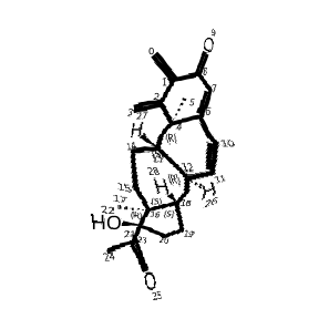 C=C1C(=C)[C@@]2(C)C(=CC1=O)C=C[C@@H]1[C@@H]2CC[C@@]2(C)[C@H]1CC[C@]2(O)C(C)=O